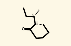 CC[C@H](C)[C@@H]1CCCCC1=O